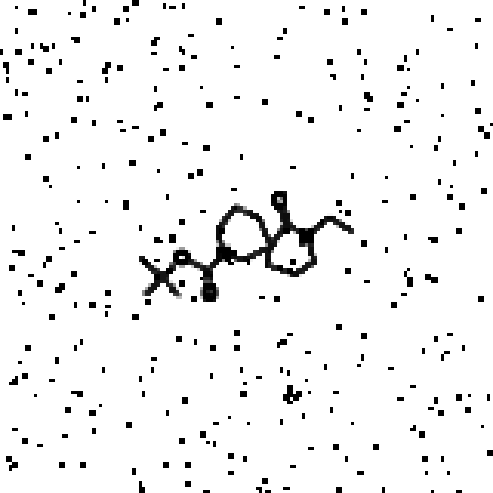 CCN1CCCC2(CCCN(C(=O)OC(C)(C)C)C2)C1=O